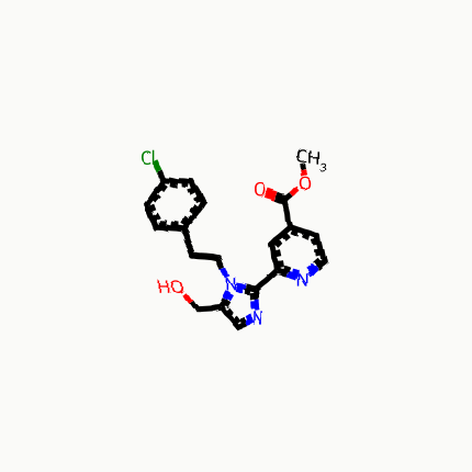 COC(=O)c1ccnc(-c2ncc(CO)n2CCc2ccc(Cl)cc2)c1